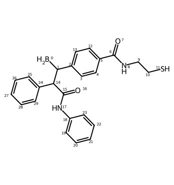 BC(c1ccc(C(=O)NCCS)cc1)C(C(=O)Nc1ccccc1)c1ccccc1